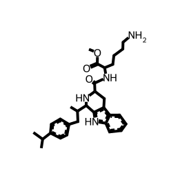 COC(=O)C(CCCCN)NC(=O)C1Cc2c([nH]c3ccccc23)C(C(C)Cc2ccc(C(C)C)cc2)N1